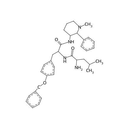 CC(C)CC(N)C(=O)NC(Cc1ccc(OCc2ccccc2)cc1)C(=O)NC1CCCN(C)C1c1ccccc1